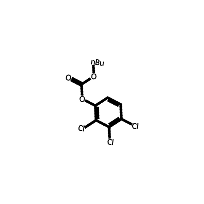 CCCCOC(=O)Oc1ccc(Cl)c(Cl)c1Cl